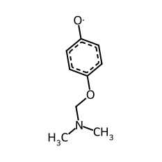 CN(C)COc1ccc([O])cc1